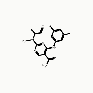 Cc1cc(C)cc(Nc2nc(N(N)C(C)C=O)ncc2C(N)=O)c1